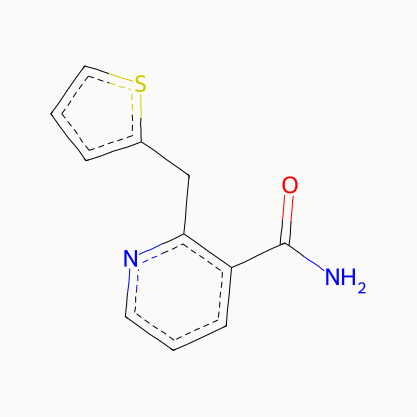 NC(=O)c1cccnc1Cc1cccs1